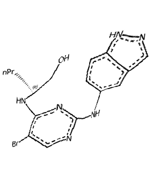 CCC[C@H](CO)Nc1nc(Nc2ccc3[nH]ncc3c2)ncc1Br